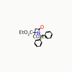 CCOC(=O)C1(C(=O)OCC)CC(=O)N1C(c1ccccc1)c1ccccc1